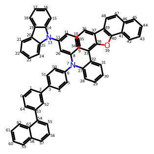 c1cc(-c2ccc(N(c3cccc(-n4c5ccccc5c5ccccc54)c3)c3ccccc3-c3cccc4c3oc3c5ccccc5ccc43)cc2)cc(-c2cccc3ccccc23)c1